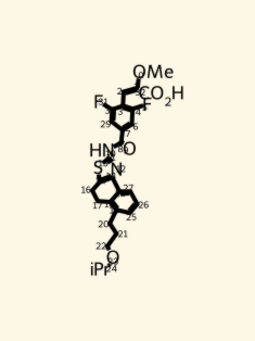 COC(=Cc1c(F)cc(C(=O)Nc2nc3c(s2)CCc2c(CCCOC(C)C)cccc2-3)cc1F)C(=O)O